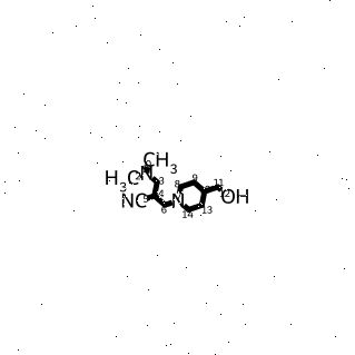 CN(C)CC(C#N)CN1CCC(CO)CC1